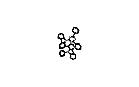 c1ccc(-c2nc(-c3ccccc3)nc(-n3c4ccccc4c4cccc(-c5ccnc6c7ccccc7n(-c7ccccc7)c56)c43)n2)cc1